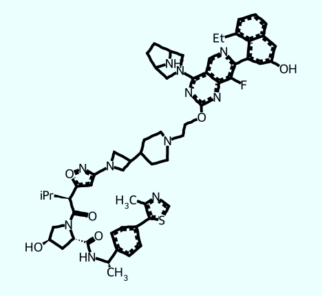 CCc1cccc2cc(O)cc(-c3ncc4c(N5CC6CCC(C5)N6)nc(OCCN5CCC(C6CN(c7cc([C@@H](C(=O)N8C[C@H](O)C[C@H]8C(=O)N[C@@H](C)c8ccc(-c9scnc9C)cc8)C(C)C)on7)C6)CC5)nc4c3F)c12